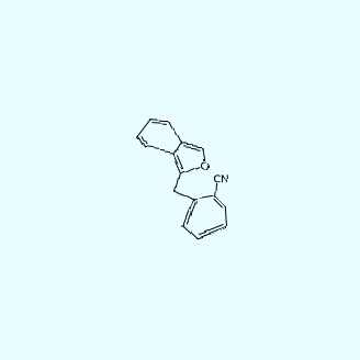 N#Cc1ccccc1Cc1occ2ccccc12